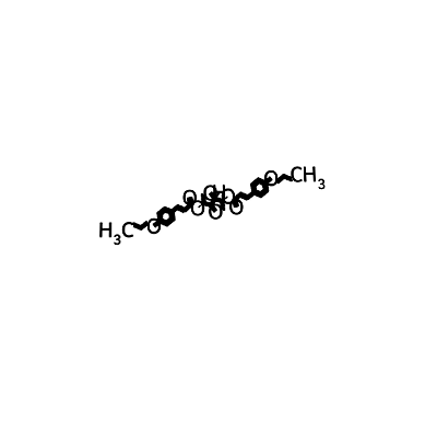 CCCCOc1ccc(/C=C/C(=O)O[C@@H]2CO[C@H]3C2OC[C@H]3OC(=O)/C=C/c2ccc(OCCCC)cc2)cc1